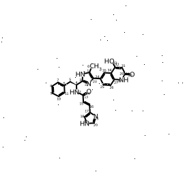 Cc1[nH]c([C@H](Cc2ccccc2)NC(=O)/C=C/c2c[nH]cn2)nc1-c1ccc2[nH]c(=O)cc(O)c2c1